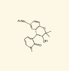 CC(=O)Nc1ccc2c(c1)C(c1cccn(C)c1=O)C(O)C(C)(C)O2